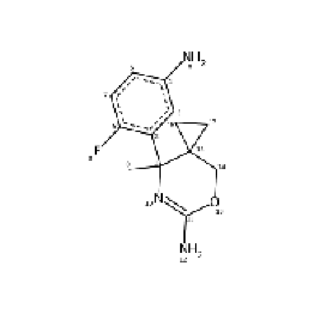 CC1(c2cc(N)ccc2F)N=C(N)OCC12CC2